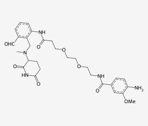 COc1cc(C(=O)NCCOCCOCCC(=O)Nc2cccc(C=O)c2CN(C)C2CCC(=O)NC2=O)ccc1N